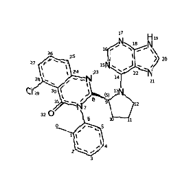 Cc1ccccc1-n1c([C@@H]2CCCN2c2ncnc3[nH]cnc23)nc2cccc(Cl)c2c1=O